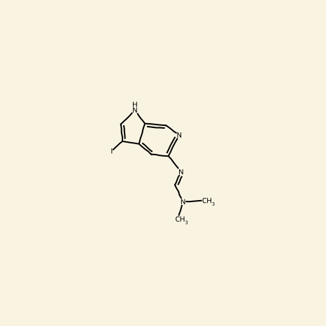 CN(C)C=Nc1cc2c(I)c[nH]c2cn1